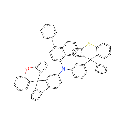 c1ccc(-c2ccc(N(c3ccc4c(c3)C3(c5ccccc5Oc5ccccc53)c3ccccc3-4)c3ccc4c(c3)C3(c5ccccc5Sc5ccccc53)c3ccccc3-4)c3ccccc23)cc1